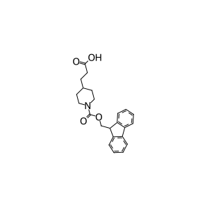 O=C(O)CCC1CCN(C(=O)OCC2c3ccccc3-c3ccccc32)CC1